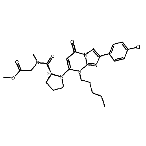 CCCCCn1c(N2CCC[C@H]2C(=O)N(C)CC(=O)OC)cc(=O)n2cc(-c3ccc(Cl)cc3)nc12